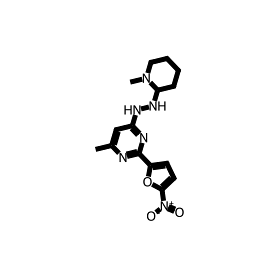 Cc1cc(NNC2CCCCN2C)nc(-c2ccc([N+](=O)[O-])o2)n1